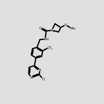 CC(C)(C)OC1CN(C(=O)NCc2ccc(-c3ccnc(Cl)n3)cc2C(F)(F)F)C1